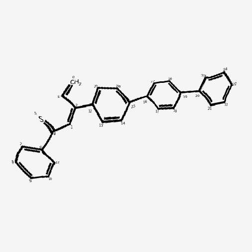 C=C/C(=C\C(=S)c1ccccc1)c1ccc(-c2ccc(-c3ccccc3)cc2)cc1